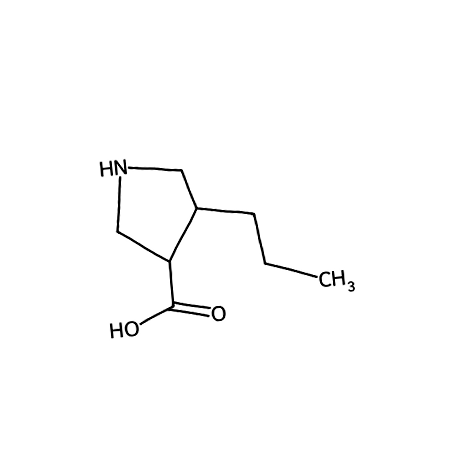 CCCC1CNCC1C(=O)O